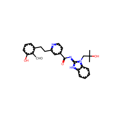 CC(C)(O)Cn1/c(=N/C(=O)c2ccnc(CCc3cccc(O)c3C=O)c2)[nH]c2ccccc21